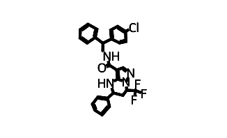 O=C(NCC(c1ccccc1)c1ccc(Cl)cc1)c1cnn2c1NC(c1ccccc1)CC2C(F)(F)F